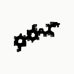 Cc1nccc(-c2ccc(OCC(C)CC(C)C)c(C)n2)n1